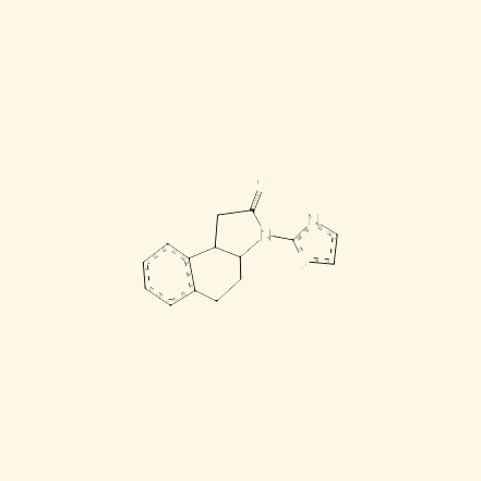 O=C1CC2c3ccccc3CCC2N1c1nccs1